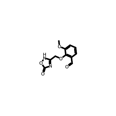 COc1cccc(C=O)c1OCc1nc(=O)o[nH]1